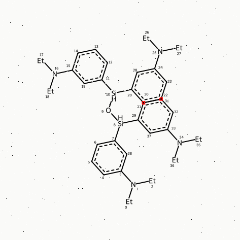 CCN(CC)c1cccc([SiH](O[SiH](c2cccc(N(CC)CC)c2)c2cccc(N(CC)CC)c2)c2cccc(N(CC)CC)c2)c1